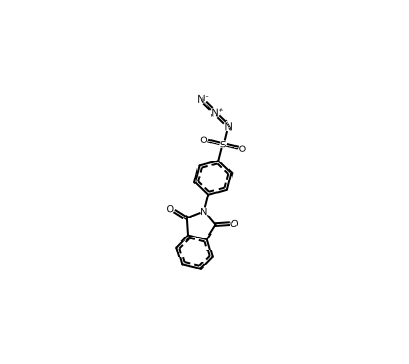 [N-]=[N+]=NS(=O)(=O)c1ccc(N2C(=O)c3ccccc3C2=O)cc1